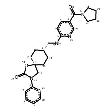 O=C(c1ccc(NC[C@H]2CC[C@]3(CC2)CN(c2ccccn2)C(=O)O3)nc1)N1CCCC1